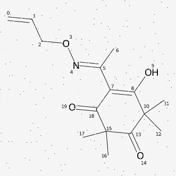 C=CCON=C(C)C1=C(O)C(C)(C)C(=O)C(C)(C)C1=O